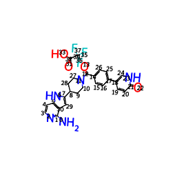 Nc1nccc2[nH]c(C3CCN(C(=O)c4ccc(-c5ccc(=O)[nH]c5)cc4)CC3)cc12.O=C(O)C(F)(F)F